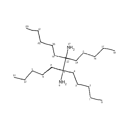 CCCCCC(N)(CCCCC)C(N)(CCCCC)CCCCC